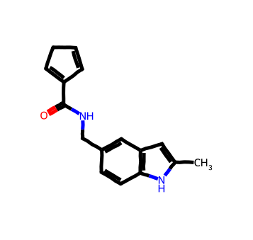 Cc1cc2cc(CNC(=O)C3=CCC=C3)ccc2[nH]1